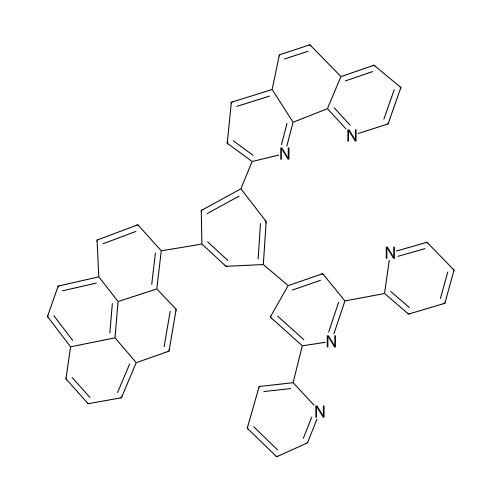 c1ccc(-c2cc(-c3cc(-c4ccc5ccc6cccnc6c5n4)cc(-c4ccc5ccc6cccc7ccc4c5c67)c3)cc(-c3ccccn3)n2)nc1